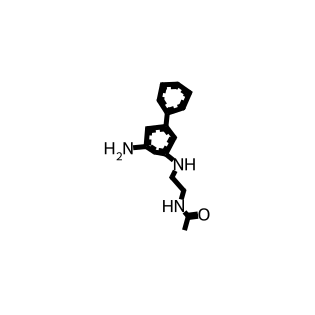 CC(=O)NCCNc1cc(N)cc(-c2ccccc2)c1